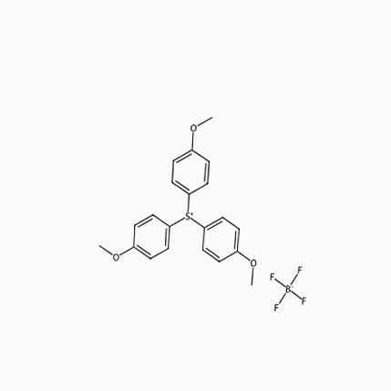 COc1ccc([S+](c2ccc(OC)cc2)c2ccc(OC)cc2)cc1.F[B-](F)(F)F